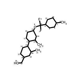 CC1CCC(C(F)(F)OC2CCC(C3CCC(CO)CC3C)C(C)C2)CC1